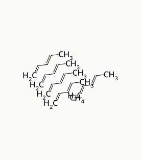 C.C=CC=CC.C=CC=CC.C=CC=CC.C=CC=CC.C=CC=CC